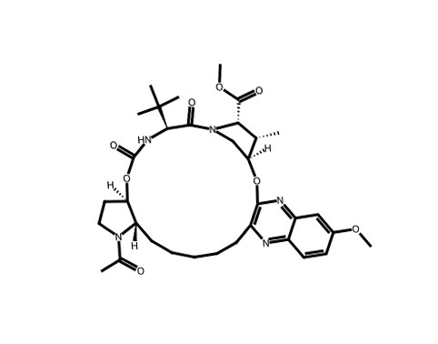 COC(=O)[C@@H]1[C@H](C)[C@@H]2CN1C(=O)[C@H](C(C)(C)C)NC(=O)O[C@@H]1CCN(C(C)=O)[C@H]1CCCCCc1nc3ccc(OC)cc3nc1O2